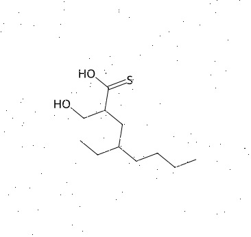 CCCCC(CC)CC(CO)C(O)=S